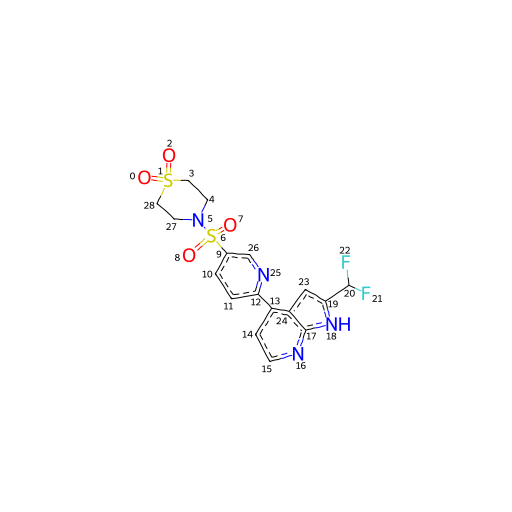 O=S1(=O)CCN(S(=O)(=O)c2ccc(-c3ccnc4[nH]c(C(F)F)cc34)nc2)CC1